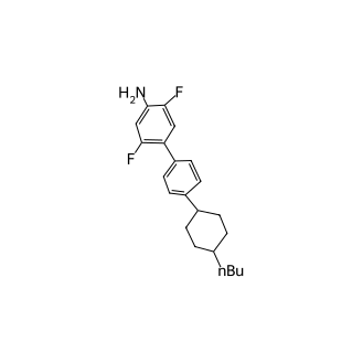 CCCCC1CCC(c2ccc(-c3cc(F)c(N)cc3F)cc2)CC1